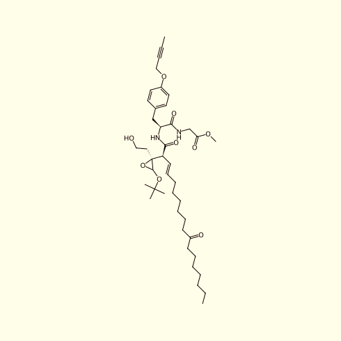 CC#CCOc1ccc(C[C@H](NC(=O)[C@@H](/C=C/CCCCCCC(=O)CCCCCCC)[C@]2(CCO)OC2OC(C)(C)C)C(=O)NCC(=O)OC)cc1